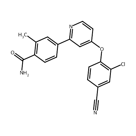 Cc1cc(-c2cc(Oc3ccc(C#N)cc3Cl)ccn2)ccc1C(N)=O